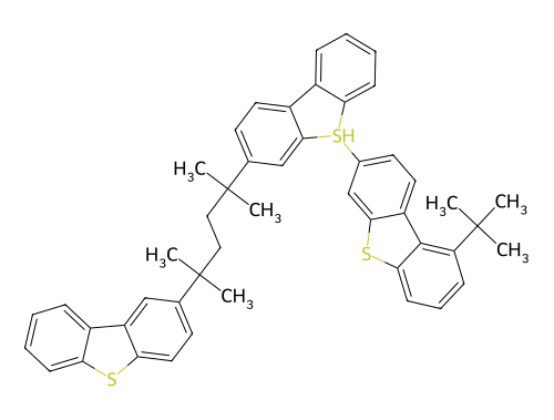 CC(C)(C)c1cccc2sc3cc([SH]4c5ccccc5-c5ccc(C(C)(C)CCC(C)(C)c6ccc7sc8ccccc8c7c6)cc54)ccc3c12